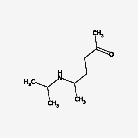 CC(=O)CCC(C)NC(C)C